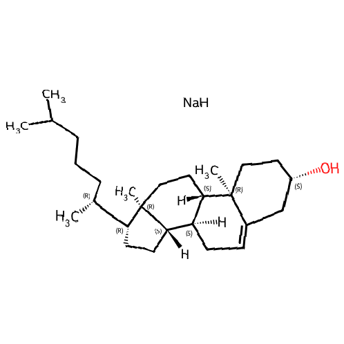 CC(C)CCC[C@@H](C)[C@H]1CC[C@H]2[C@@H]3CC=C4C[C@@H](O)CC[C@]4(C)[C@H]3CC[C@]12C.[NaH]